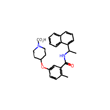 Cc1ccc(OC2CCN(C(=O)O)CC2)cc1C(=O)NC(C)c1cccc2ccccc12